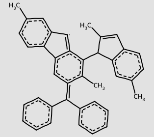 CC1=Cc2ccc(C)cc2C1c1c(C)c(=C(c2ccccc2)c2ccccc2)cc2c1=[C]c1cc(C)ccc1-2